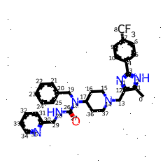 Cc1[nH]c(-c2ccc(C(F)(F)F)cc2)nc1CN1CCC(N(Cc2ccccc2)C(=O)NCc2ccccn2)CC1